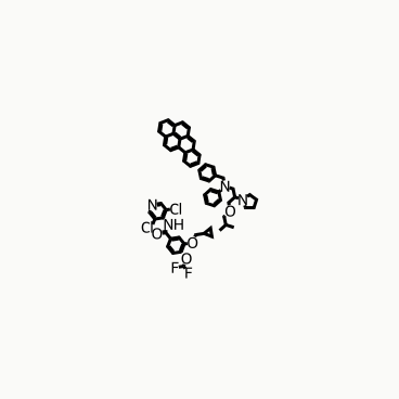 CC(C)COCC(CN(Cc1ccccc1)c1ccccc1)N1CCCC1.O=C(Nc1c(Cl)cncc1Cl)c1ccc(OC(F)F)c(OCC2CC2)c1.c1ccc2c(c1)cc1ccc3cccc4ccc2c1c34